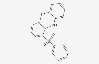 O=S(=O)(c1ccccc1)c1cccc2c1Nc1ccccc1S2